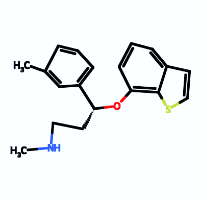 CNCC[C@@H](Oc1cccc2ccsc12)c1cccc(C)c1